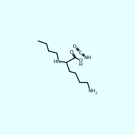 CCCCNC(CCCCN)C(=O)O.N=C=O